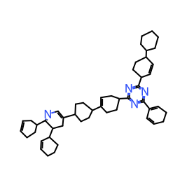 C1=CC(c2nc(C3C=CC(C4CCCCC4)CC3)nc(C3CC=C(C4CCC(C5=CN=C(C6CC=CCC6)C(C6C=CCCC6)C5)CC4)CC3)n2)=CCC1